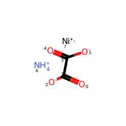 O=C([O-])C(=O)[O-].[NH4+].[Ni+]